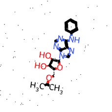 CC(C)OC[C@H]1O[C@@H](n2cnc3c(Nc4ccccc4)ncnc32)[C@H](O)[C@@H]1O